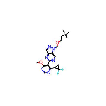 COc1ncnc(C2CC2(F)F)c1-c1ncc2c(cnn2COCC[Si](C)(C)C)n1